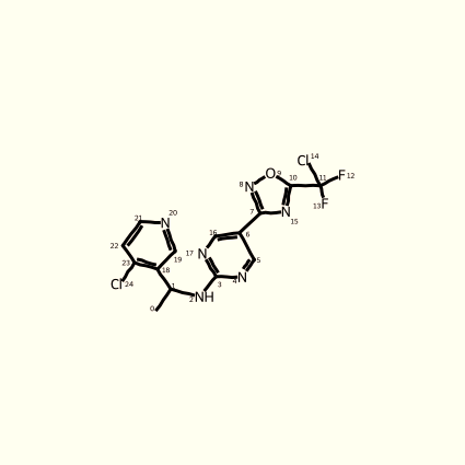 CC(Nc1ncc(-c2noc(C(F)(F)Cl)n2)cn1)c1cnccc1Cl